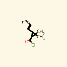 CCC/C=C/C1C(C(=O)Cl)C1(C)C